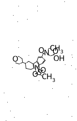 CCN(CC(=O)O)C(=O)c1ccc2c(c1)c1c(n2S(=O)(=O)CC)CCC(C2CCOCC2)C1